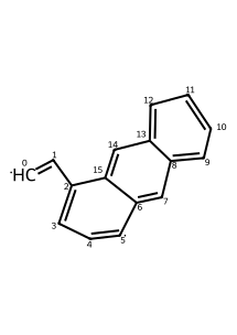 [CH]=Cc1cc[c]c2cc3ccccc3cc12